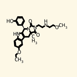 CCOc1ccc2[nH]c3c(c2c1)C[C@@]1(C)C(=O)N(CCNCCOC)C(=O)N1[C@@H]3c1cccc(O)c1